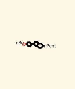 CCCCCC1CCc2cc(-c3ccc(OCCCC)cc3)ccc2C1